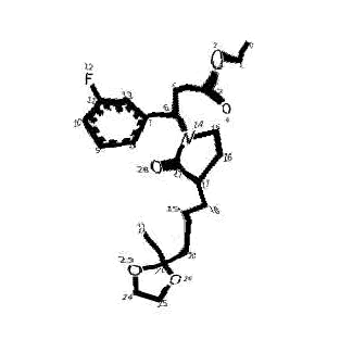 CCOC(=O)CC(c1cccc(F)c1)N1CCC(CCCC2(C)OCCO2)C1=O